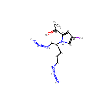 [N-]=[N+]=NCCC[C@@H](CN=[N+]=[N-])n1cc(I)cc1C(=O)C(Cl)(Cl)Cl